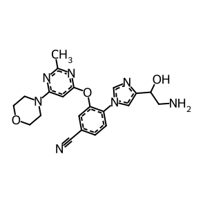 Cc1nc(Oc2cc(C#N)ccc2-n2cnc(C(O)CN)c2)cc(N2CCOCC2)n1